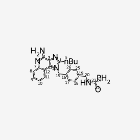 CCCCc1nc2c(N)nc3ccccc3c2n1Cc1ccc(CNC(=O)P)cc1